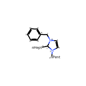 CCCCCCCC1N(CCCCC)C=CN1Cc1ccccc1